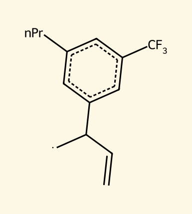 [CH2]C(C=C)c1cc(CCC)cc(C(F)(F)F)c1